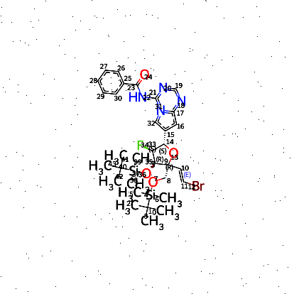 CC(C)(C)[Si](C)(C)OC[C@@]1(/C=C/Br)O[C@@H](c2cc3ncnc(NC(=O)c4ccccc4)n3c2)[C@H](F)[C@@H]1O[Si](C)(C)C(C)(C)C